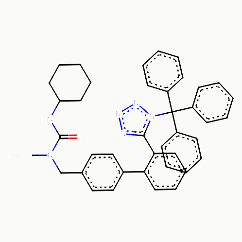 CCCCCCCN(Cc1ccc(-c2ccccc2-c2nnnn2C(c2ccccc2)(c2ccccc2)c2ccccc2)cc1)C(=O)NC1CCCCC1